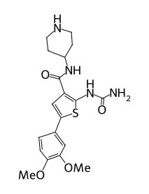 COc1ccc(-c2cc(C(=O)NC3CCNCC3)c(NC(N)=O)s2)cc1OC